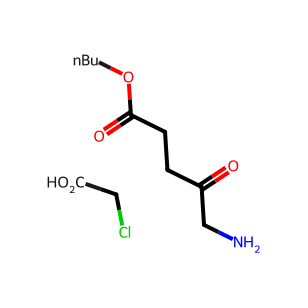 CCCCOC(=O)CCC(=O)CN.O=C(O)CCl